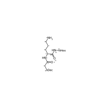 CCCCCCCCCCCC(=O)NC(CCCN)C(=O)NCCCCCC